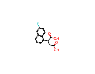 O=C(O)CC(C(=O)O)c1cccc2cc(F)ccc12